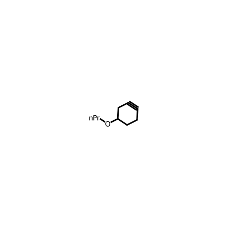 CCCOC1CC#CCC1